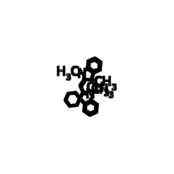 CN1C(=CC2=[N+](C)c3ccccc3C23CCCCC3)C(C)(C)c2ccccc21